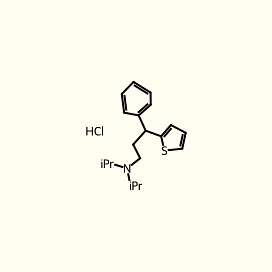 CC(C)N(CCC(c1ccccc1)c1cccs1)C(C)C.Cl